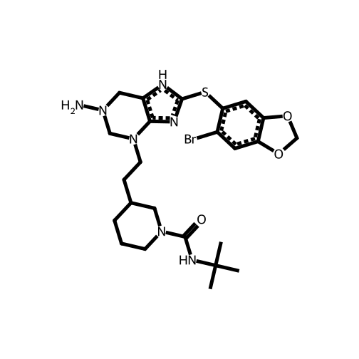 CC(C)(C)NC(=O)N1CCCC(CCN2CN(N)Cc3[nH]c(Sc4cc5c(cc4Br)OCO5)nc32)C1